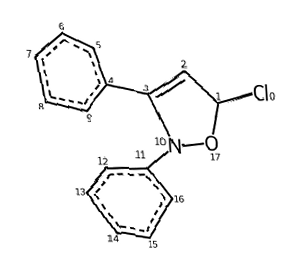 ClC1C=C(c2ccccc2)N(c2ccccc2)O1